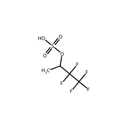 CC(OS(=O)(=O)O)C(F)(F)C(F)(F)F